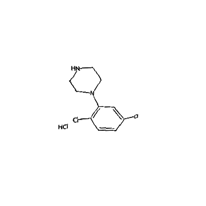 Cl.Clc1ccc(Cl)c(N2CCNCC2)c1